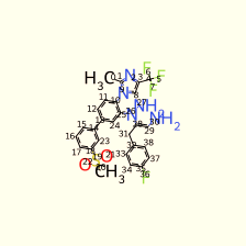 Cc1nc(C(F)(F)F)cn1-c1ccc(-c2cccc(S(C)(=O)=O)c2)cc1N(N)/C(=C\N)Cc1ccc(F)cc1